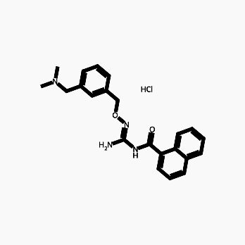 CN(C)Cc1cccc(CON=C(N)NC(=O)c2cccc3ccccc23)c1.Cl